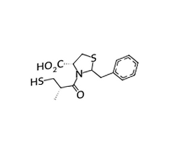 C[C@H](CS)C(=O)N1C(Cc2ccccc2)SC[C@H]1C(=O)O